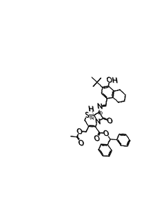 CC(=O)OCC1=C(C(=O)OC(c2ccccc2)c2ccccc2)N2C(=O)[C@@H](N=Cc3cc(C(C)(C)C)c(O)c4c3CCCC4)[C@@H]2SC1